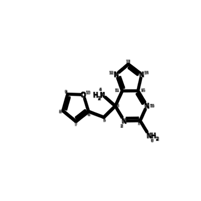 NC1=NC(N)(Cc2ccco2)C2=NC=NC2=N1